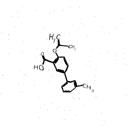 Cc1cccc(-c2ccc(OC(C)C)c(C(=O)O)c2)c1